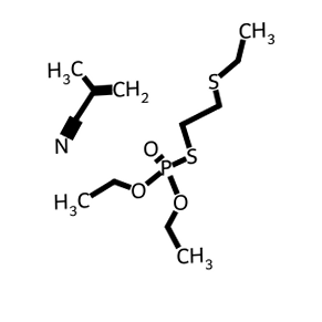 C=C(C)C#N.CCOP(=O)(OCC)SCCSCC